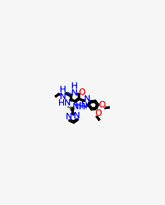 CCN/C=C1/NC(=O)C(c2nc3cc(OCC)c(OCC)cc3[nH]2)=C(N[C@@H](C)c2ncccn2)C1=N